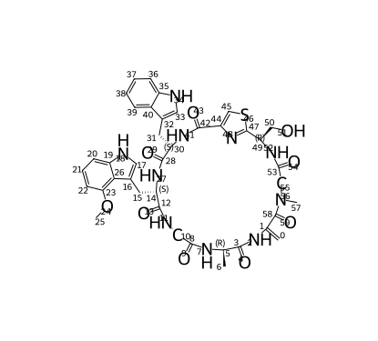 C=C1NC(=O)[C@@H](C)NC(=O)CNC(=O)[C@H](Cc2c[nH]c3cccc(OC)c23)NC(=O)[C@H](Cc2c[nH]c3ccccc23)NC(=O)c2csc(n2)[C@@H](CO)NC(=O)CN(C)C1=O